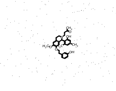 COc1cc2c(cc1OCCc1cccc(O)c1)C(c1c(C)cc(C)cc1O)N(CCC(C)=O)CC2